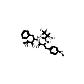 COc1ccc(CC(NC(=O)C(C)(O)C(F)(F)F)C(=O)NC(Cc2ccccc2)C(=O)C2(C)CO2)cc1